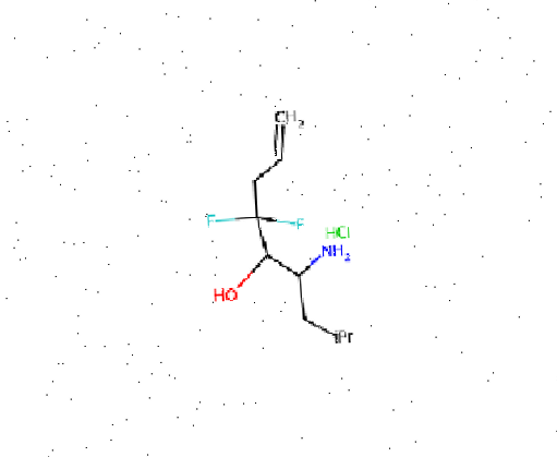 C=CCC(F)(F)C(O)C(N)CC(C)C.Cl